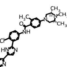 Cc1cc(N2C[C@@H](C)N(C)[C@@H](C)C2)ccc1C(=O)Nc1ccc(Cl)c(-c2ncc(-c3nccs3)[nH]2)c1